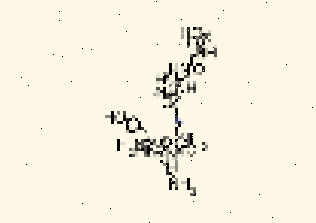 CNC(=O)[C@](C)(CCC/C=C/CCC[C@](C)(NC(=O)[C@H](CCCCN)NC(=O)[C@@H](N)Cc1ccc(O)cc1)C(N)=O)NC(=O)CNC(=O)CNC(=O)C[C@@H](C)O